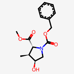 COC(=O)[C@H]1[C@H](C)[C@H](O)CN1C(=O)OCc1ccccc1